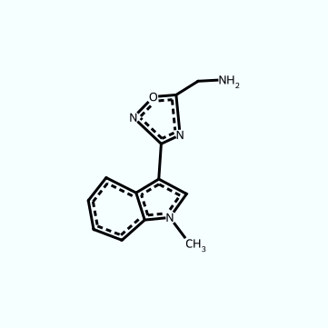 Cn1cc(-c2noc(CN)n2)c2ccccc21